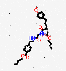 CCCCOC(=O)C[C@@H](CCCc1ccc(OC)cc1)C(=O)NCC(=O)NCCc1ccc(C(=O)OCCCC)cc1